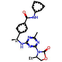 CCC1COC(=O)N1c1nc(C)nc(N[C@@H](C)c2ccc(C(=O)Nc3ccccc3)cc2)n1